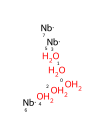 O.O.O.O.O.[Nb].[Nb].[Nb]